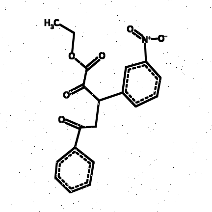 CCOC(=O)C(=O)C(CC(=O)c1ccccc1)c1cccc([N+](=O)[O-])c1